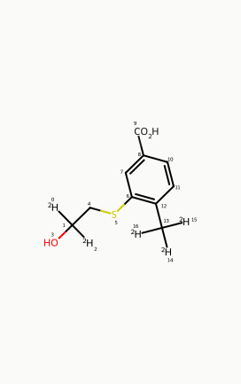 [2H]C([2H])(O)CSc1cc(C(=O)O)ccc1C([2H])([2H])[2H]